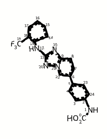 O=C(O)Nc1ccc(-c2ccc3nc(Nc4ccccc4C(F)(F)F)nn3c2)cc1